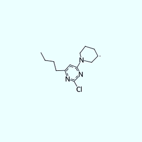 CCCCc1cc(N2C[CH]CCC2)nc(Cl)n1